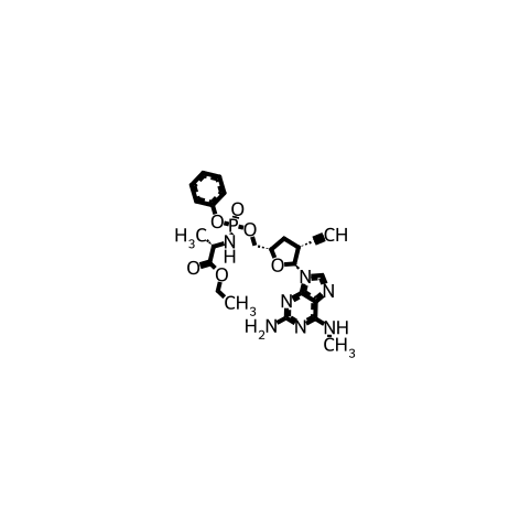 C#C[C@H]1C[C@@H](CO[P@](=O)(N[C@@H](C)C(=O)OCC)Oc2ccccc2)O[C@H]1n1cnc2c(NC)nc(N)nc21